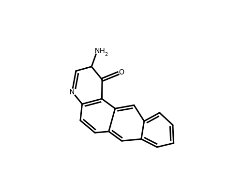 NC1C=Nc2ccc3cc4ccccc4cc3c2C1=O